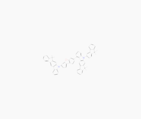 CC1(C)c2ccccc2-c2cc(-n3c4cc5c(cc4c4c(-c6ccc7c(c6)oc6cc(-n8c9ccccc9c9cc%10c(cc98)C(C)(C)c8ccccc8-%10)ccc67)cccc43)-c3ccccc3C5(C)C)ccc21